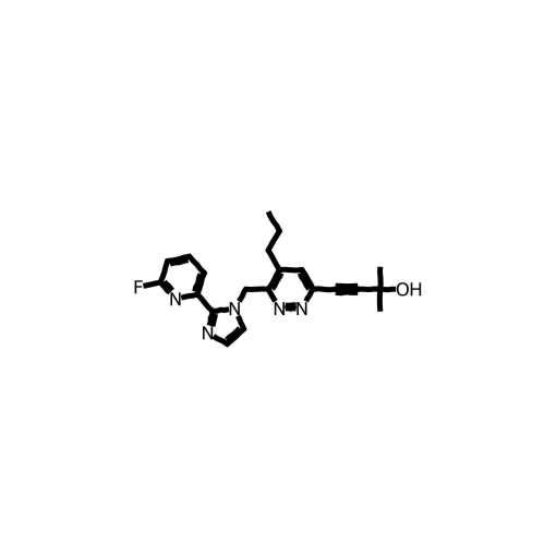 CCCc1cc(C#CC(C)(C)O)nnc1Cn1ccnc1-c1cccc(F)n1